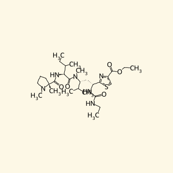 CCNC(=O)N[C@H](C[C@H](C(C)C)N(C)C(=O)[C@@H](NC(=O)[C@@]1(C)CCCN1C)C(C)CC)c1nc(C(=O)OCC)cs1